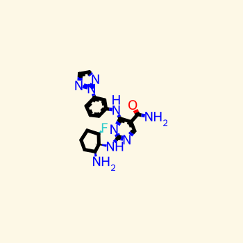 NC(=O)c1cnc(N[C@@H]2[C@H](F)CCC[C@@H]2N)nc1Nc1cccc(-n2nccn2)c1